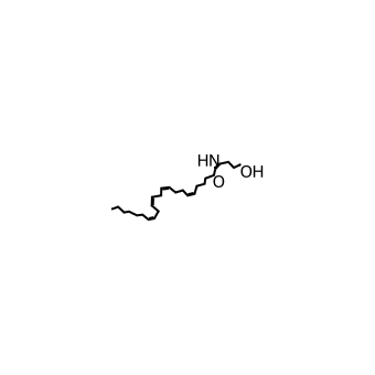 CCCCCC/C=C\C/C=C\C/C=C\CC/C=C\CCCC(=O)C1=C(CCCO)N1